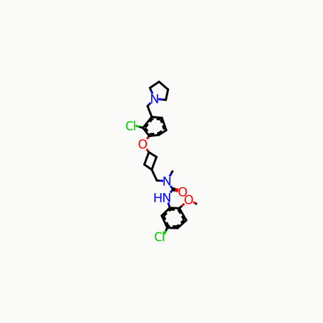 COc1ccc(Cl)cc1NC(=O)N(C)CC1CC(Oc2cccc(CN3CCCC3)c2Cl)C1